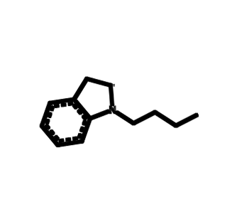 CCCCN1[CH]Cc2ccccc21